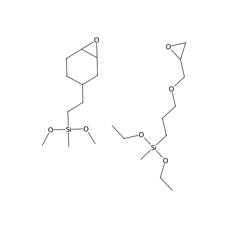 CCO[Si](C)(CCCOCC1CO1)OCC.CO[Si](C)(CCC1CCC2OC2C1)OC